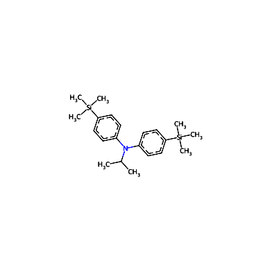 CC(C)N(c1ccc([Si](C)(C)C)cc1)c1ccc([Si](C)(C)C)cc1